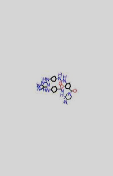 CN(C)C1CCN(C(=O)c2ccc(NC(=O)Nc3ccc(Nc4nc(Nc5ccc(C(N)=O)cc5)c5cnn(C)c5n4)cc3)cc2)CC1